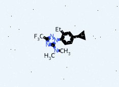 CCc1cc(C2CC2)ccc1-n1nc(C(F)(F)F)nc1N(C)C